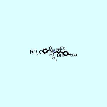 CCn1nc(/C(C)=N/NC(=O)c2ccc(C(=O)O)cc2)c(O)c1-c1ccc(C(C)(C)C)cc1